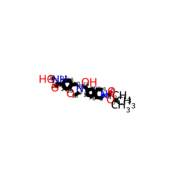 CC(C)(C)OC(=O)N1CCC2(CCC(C(O)N3CCOc4cc(C(=O)NO)ccc4C3)C2)CC1